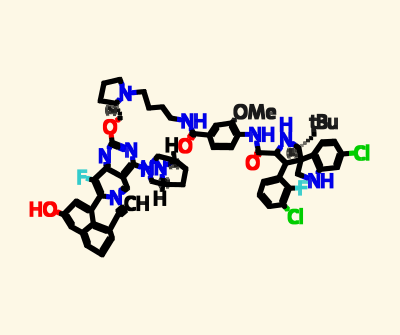 C#Cc1cccc2cc(O)cc(-c3ncc4c(N5C[C@H]6CC[C@@H](C5)N6)nc(OC[C@@H]5CCCN5CCCCNC(=O)c5ccc(NC(=O)C6N[C@H](CC(C)(C)C)C7(CNc8cc(Cl)ccc87)C6c6cccc(Cl)c6F)c(OC)c5)nc4c3F)c12